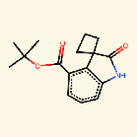 CC(C)(C)OC(=O)c1cccc2c1C1(CCC1)C(=O)N2